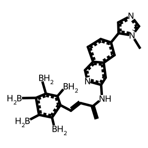 Bc1c(B)c(B)c(/C=C/C(=C)Nc2cc3cc(-c4cncn4C)ccc3cn2)c(B)c1B